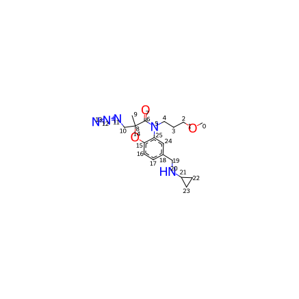 COCCCN1C(=O)C(C)(CN=[N+]=[N-])Oc2ccc(CNC3CC3)cc21